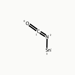 O=C=[N][Sn]